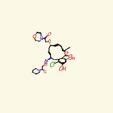 CC1C/C=C/[C@@H](OCC(=O)N2CCOCC2)C/C=C/C(=N/OCC(=O)N2CCCCC2)Cc2c(Cl)c(O)cc(O)c2C(=O)O1